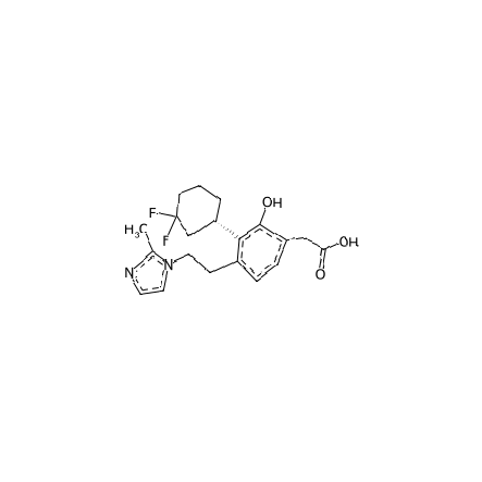 Cc1nccn1CCc1ccc(CC(=O)O)c(O)c1[C@H]1CCCC(F)(F)C1